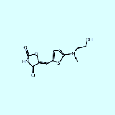 CN(CCO)c1ccc(/C=C2\OC(=O)NC2=O)s1